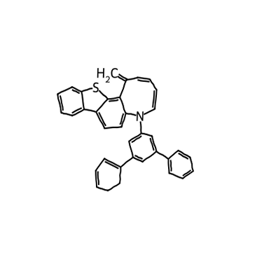 C=C1/C=C\C=C/N(c2cc(C3=CC=CCC3)cc(-c3ccccc3)c2)c2ccc3c(sc4ccccc43)c21